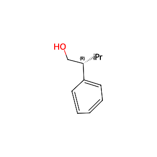 CC(C)[C@@H](CO)c1ccccc1